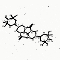 C=C1N2CN(C3CC(C)(C)N(C)C(C)(C)C3)CN3C(=O)N4CN(C5CC(C)(C)N(C)C(C)(C)C5)CN1C4C23